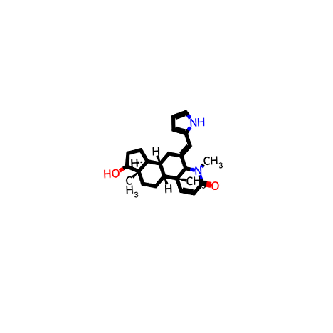 CN1C(=O)C=C[C@@]2(C)C1C(=Cc1ccc[nH]1)C[C@@H]1[C@H]2CC[C@]2(C)C(O)CC[C@@H]12